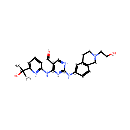 CC(C)(O)c1cccc(Nc2nc(Nc3ccc4c(c3)CCN(CCO)C4)ncc2C=O)n1